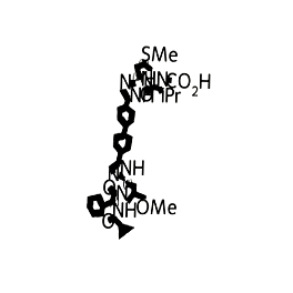 COCC1C[C@@H](c2ncc(-c3ccc(-c4ccc(-c5cnc([C@@H]6C[C@H](SC)CN6C(=O)C(NC(=O)O)C(C)C)[nH]5)cc4)cc3)[nH]2)N(C(=O)[C@H](NC(=O)C2CC2)c2ccccc2)C1